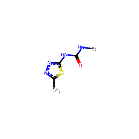 CCNC(=O)Nc1nnc(C)s1